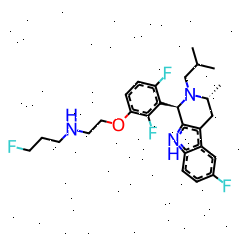 CC(C)CN1[C@H](c2c(F)ccc(OCCNCCCF)c2F)c2[nH]c3ccc(F)cc3c2C[C@H]1C